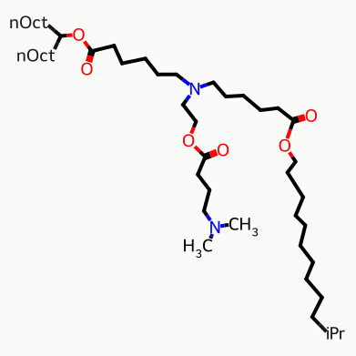 CCCCCCCCC(CCCCCCCC)OC(=O)CCCCCN(CCCCCC(=O)OCCCCCCCCCCC(C)C)CCOC(=O)CCCN(C)C